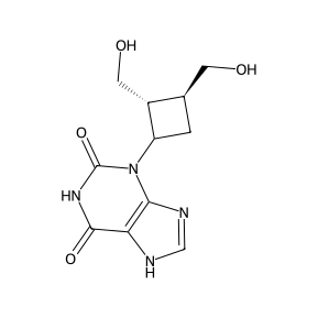 O=c1[nH]c(=O)n(C2C[C@H](CO)[C@H]2CO)c2nc[nH]c12